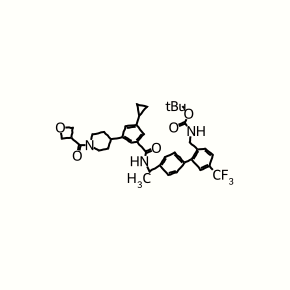 C[C@@H](NC(=O)c1cc(C2CC2)cc(C2CCN(C(=O)C3COC3)CC2)c1)c1ccc(-c2cc(C(F)(F)F)ccc2CNC(=O)OC(C)(C)C)cc1